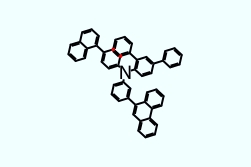 c1ccc(-c2ccc(N(c3ccc(-c4cccc5ccccc45)cc3)c3cccc(-c4cc5ccccc5c5ccccc45)c3)c(-c3ccccc3)c2)cc1